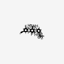 C#Cc1ccc(Nc2c(F)c(F)c(F)c(Oc3cccc(NS(=O)(=O)N(C)C)c3)c2C(N)=O)c(F)c1